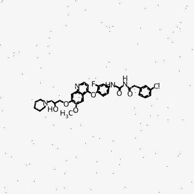 COc1cc2c(Oc3ccc(NC(=O)NC(=O)Cc4cccc(Cl)c4)cc3F)ccnc2cc1OCC(O)CN1CCCCC1